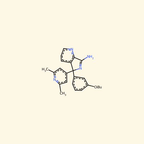 Cc1cc(C2(c3cccc(OCC(C)C)c3)N=C(N)c3ncccc32)cc(C)n1